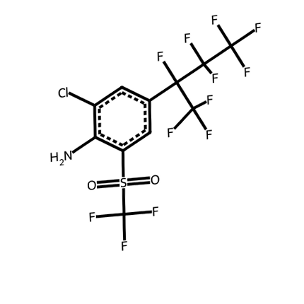 Nc1c(Cl)cc(C(F)(C(F)(F)F)C(F)(F)C(F)(F)F)cc1S(=O)(=O)C(F)(F)F